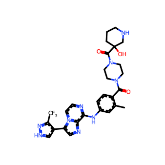 Cc1cc(Nc2nccn3c(-c4c[nH]nc4C(F)(F)F)cnc23)ccc1C(=O)N1CCN(C(=O)C2(O)CCCNC2)CC1